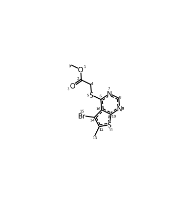 COC(=O)CSc1ncnc2sc(C)c(Br)c12